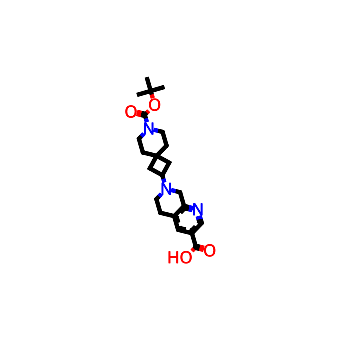 CC(C)(C)OC(=O)N1CCC2(CC1)CC(N1CCc3cc(C(=O)O)cnc3C1)C2